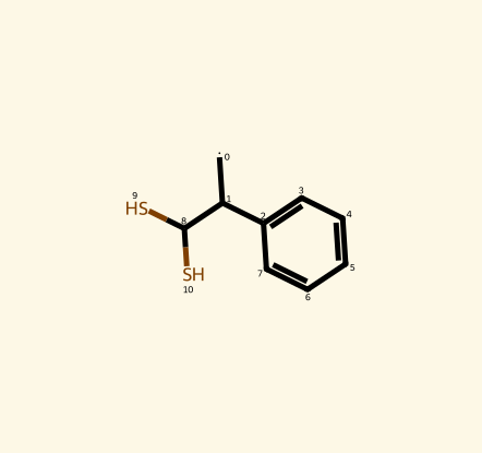 [CH2]C(c1ccccc1)C(S)S